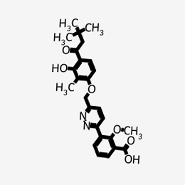 COc1c(C(=O)O)cccc1-c1ccc(COc2ccc(C(=O)CC(C)(C)C)c(O)c2C)nn1